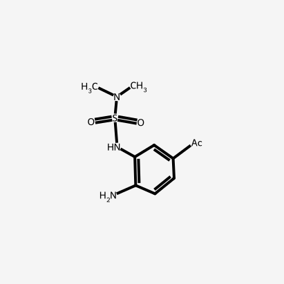 CC(=O)c1ccc(N)c(NS(=O)(=O)N(C)C)c1